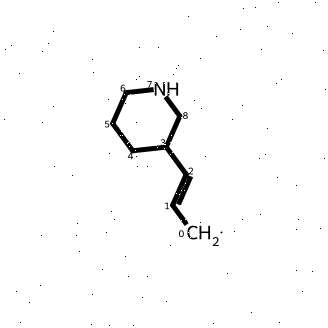 [CH2]C=CC1CCCNC1